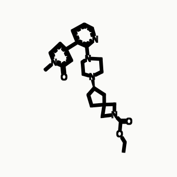 CCOC(=O)N1CC2(CC[C@@H](N3CCN(c4ncccc4-c4ccn(C)c(=O)c4)CC3)C2)C1